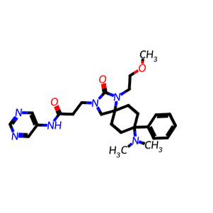 COCCN1C(=O)N(CCC(=O)Nc2cncnc2)CC12CCC(c1ccccc1)(N(C)C)CC2